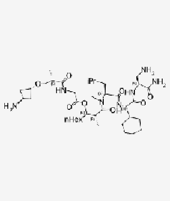 CCCCCC[C@@H](OC(=O)CNC(=O)[C@@H](C)CO[C@H]1C[C@H](N)C1)[C@@H](C)C(=O)N(C)[C@@H](CC(C)C)C(=O)N[C@H](C(=O)N[C@@H](CN)C(N)=O)C1CCCCC1